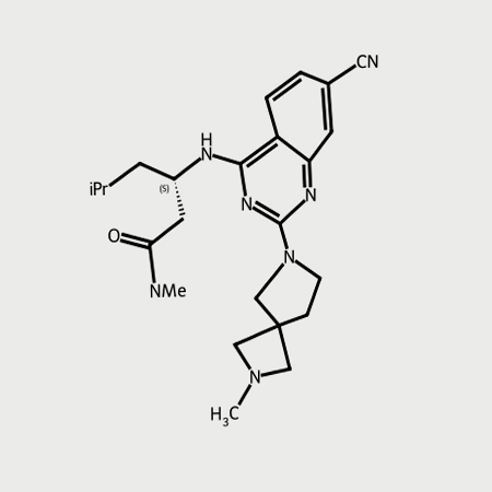 CNC(=O)C[C@H](CC(C)C)Nc1nc(N2CCC3(CN(C)C3)C2)nc2cc(C#N)ccc12